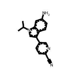 CC(C)n1cc(-c2ccc(C#N)nc2)c2ccc(N)cc21